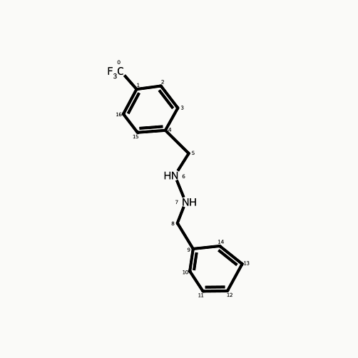 FC(F)(F)c1ccc(CNNCc2ccccc2)cc1